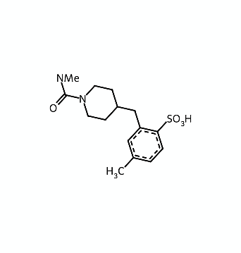 CNC(=O)N1CCC(Cc2cc(C)ccc2S(=O)(=O)O)CC1